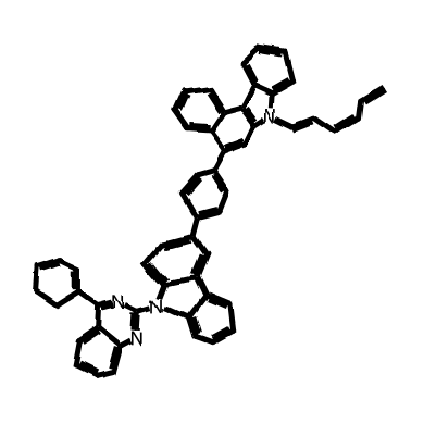 C=C/C=C\C=C\n1c2ccccc2c2c3ccccc3c(-c3ccc(-c4ccc5c(c4)c4ccccc4n5-c4nc(C5=CC=CCC5)c5ccccc5n4)cc3)cc21